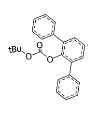 CC(C)(C)OC(=O)Oc1c(-c2ccccc2)c[c]cc1-c1ccccc1